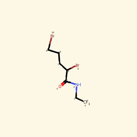 O=C(NCC(F)(F)F)C(Br)CCCBr